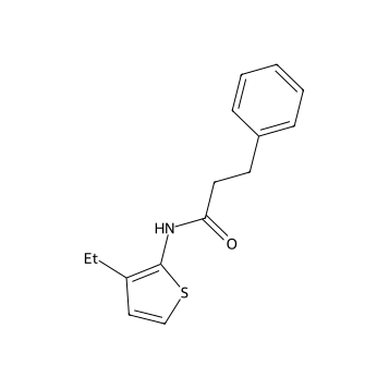 CCc1ccsc1NC(=O)CCc1ccccc1